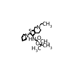 CCN1CCc2c(sc(-n3cccc3)c2NC(=O)OC(C)(C)C)C1